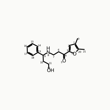 Cc1cc(C(=O)CCNC(CCO)c2ccccc2)oc1C